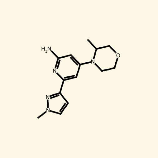 CC1COCCN1c1cc(N)nc(-c2ccn(C)n2)c1